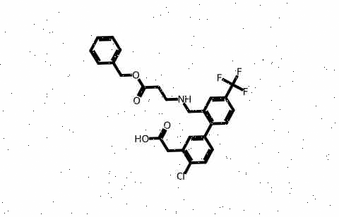 O=C(O)Cc1cc(-c2ccc(C(F)(F)F)cc2CNCCC(=O)OCc2ccccc2)ccc1Cl